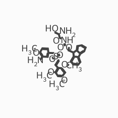 COc1cc(OC)c(/C=C/S(=O)(=O)Cc2ccc(OC)c(N)c2)c(OC)c1.N[C@@H](CO)C(=O)NC(=O)OCC1c2ccccc2-c2ccccc21